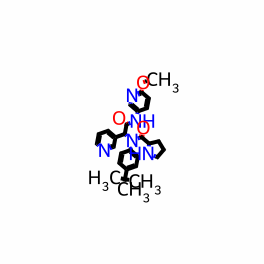 COc1ccc(NC(=O)C(c2cccnc2)N(C(=O)C2CCCN2)c2ccc(C(C)(C)C)cc2)cn1